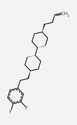 C=CCC[C@H]1CC[C@H]([C@H]2CC[C@H](CCc3ccc(F)c(F)c3)CC2)CC1